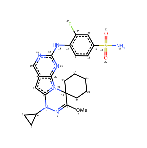 COC1=NN(C2CC2)c2cc3cnc(Nc4ccc(S(N)(=O)=O)cc4F)nc3n2C12CCCCC2